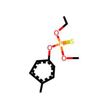 CCOP(=S)(OC)Oc1ccc(C)cc1